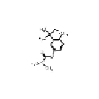 Cc1ccc(OC(=O)N(C)C)cc1C(C)(C)C